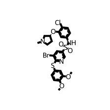 COc1ccc(Sc2ncc(S(=O)(=O)Nc3ccc(Cl)c(O[C@@H]4CCN(C)C4)c3)cc2Br)cc1OC